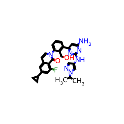 CC(C)n1cc(Nc2nc(N)cc(-c3cccc(-n4ccc5cc(C6CC6)cc(F)c5c4=O)c3CO)n2)cn1